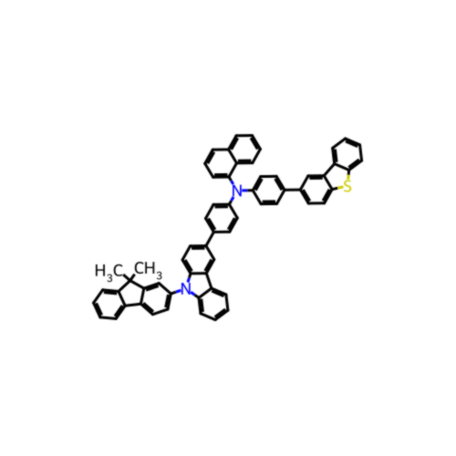 CC1(C)c2ccccc2-c2ccc(-n3c4ccccc4c4cc(-c5ccc(N(c6ccc(-c7ccc8sc9ccccc9c8c7)cc6)c6cccc7ccccc67)cc5)ccc43)cc21